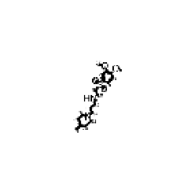 COc1ccc(S(=O)(=O)CCNCCCN2CCC(C)CC2)cc1OC